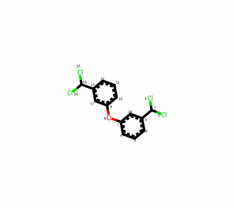 ClC(Cl)c1cccc(Oc2cccc(C(Cl)Cl)c2)c1